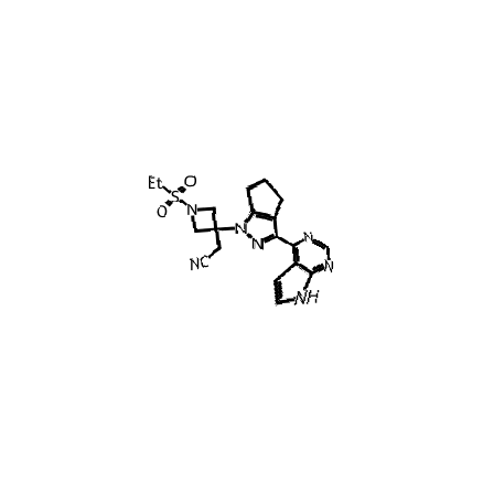 CCS(=O)(=O)N1CC(CC#N)(n2nc(-c3ncnc4[nH]ccc34)c3c2CCC3)C1